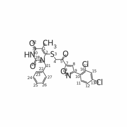 Cc1c(SCC(=O)c2cc(-c3ccc(Cl)cc3Cl)no2)n(Cc2ccccc2)c(=O)[nH]c1=O